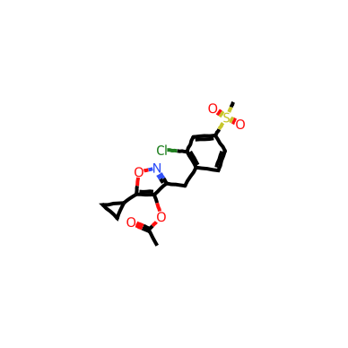 CC(=O)Oc1c(Cc2ccc(S(C)(=O)=O)cc2Cl)noc1C1CC1